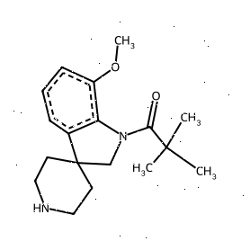 COc1cccc2c1N(C(=O)C(C)(C)C)CC21CCNCC1